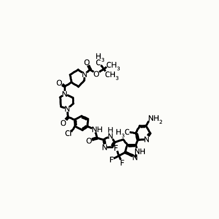 Cc1cc(N)cnc1-c1[nH]nc(C(F)(F)F)c1Cc1cnc(C(=O)Nc2ccc(C(=O)N3CCN(C(=O)C4CCN(C(=O)OC(C)(C)C)CC4)CC3)c(Cl)c2)[nH]1